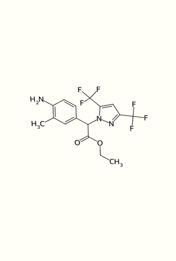 CCOC(=O)C(c1ccc(N)c(C)c1)n1nc(C(F)(F)F)cc1C(F)(F)F